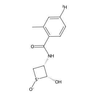 [2H]c1ccc(C(=O)N[C@H]2C[S+]([O-])[C@H]2O)c(C)c1